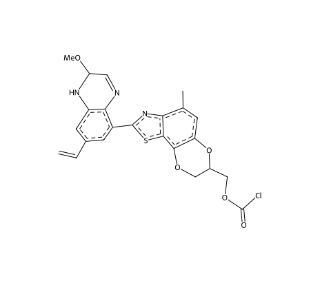 C=Cc1cc2c(c(-c3nc4c(C)cc5c(c4s3)OCC(COC(=O)Cl)O5)c1)N=CC(OC)N2